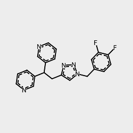 Fc1ccc(Cn2cc(CC(c3cccnc3)c3cccnc3)nn2)cc1F